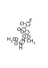 COC(=O)[C@@H]1CN(C(=O)[C@@H](C)Oc2ccc3c(-c4ccc(F)cc4Cl)cc(=O)oc3c2)CCN1